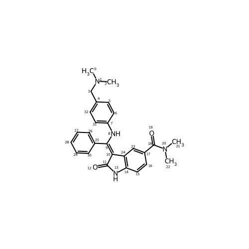 CN(C)Cc1ccc(NC(=C2C(=O)Nc3ccc(C(=O)N(C)C)cc32)c2ccccc2)cc1